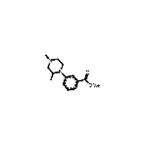 COC(=O)c1cccc(N2CCN(C)CC2C)c1